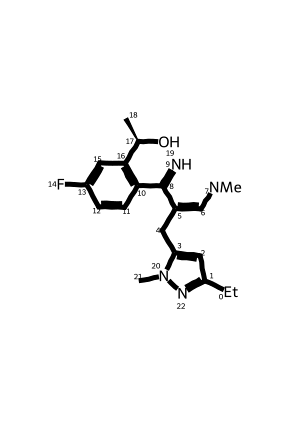 CCc1cc(C/C(=C/NC)C(=N)c2ccc(F)cc2[C@@H](C)O)n(C)n1